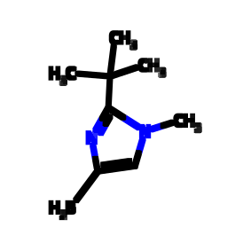 Bc1cn(C)c(C(C)(C)C)n1